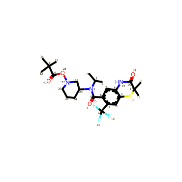 CC(C)N(C(=O)c1cc2c(cc1C(F)(F)F)SC(C)(C)C(=O)N2)C1CCCN(OC(=O)C(C)(C)C)C1